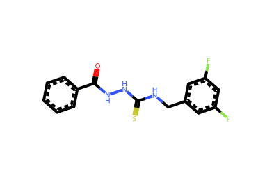 O=C(NNC(=S)NCc1cc(F)cc(F)c1)c1ccccc1